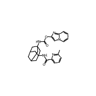 Cc1cccc(C(=O)NC23CC4CC(CC(NC(=O)Oc5cn6ccccc6n5)(C4)C2)C3)n1